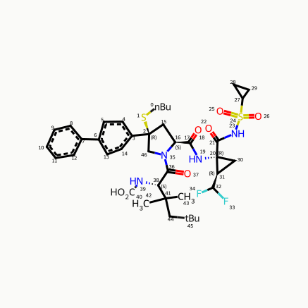 CCCCS[C@@]1(c2ccc(-c3ccccc3)cc2)C[C@@H](C(=O)N[C@]2(C(=O)NS(=O)(=O)C3CC3)C[C@H]2C(F)F)N(C(=O)[C@@H](NC(=O)O)C(C)(C)CC(C)(C)C)C1